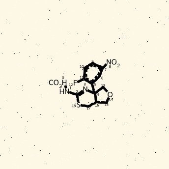 O=C(O)NC1=NC2(c3cc([N+](=O)[O-])ccc3F)COCC2CS1